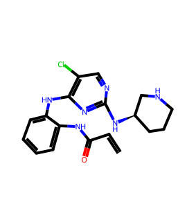 C=CC(=O)Nc1ccccc1Nc1nc(N[C@@H]2CCCNC2)ncc1Cl